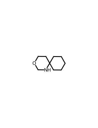 C1CCC2(CC1)CCOCN2